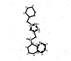 CN(Cc1cn(CC2CCCCC2)nn1)C1CCCc2cccnc21